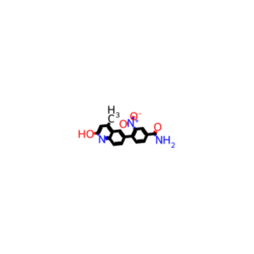 Cc1cc(O)nc2ccc(-c3ccc(C(N)=O)cc3[N+](=O)[O-])cc12